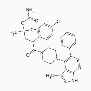 Cc1c[nH]c2ncc(-c3ccccc3)c(N3CCN(C(=O)C(CC(C)(C)OC(N)=O)c4ccc(Cl)cc4)CC3)c12